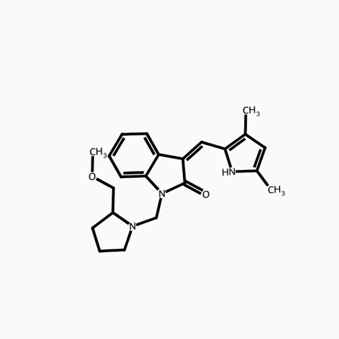 COCC1CCCN1CN1C(=O)C(=Cc2[nH]c(C)cc2C)c2ccccc21